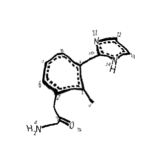 Cc1c(C(N)=O)cccc1-c1ncc[nH]1